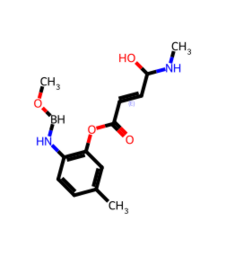 CNC(O)/C=C/C(=O)Oc1cc(C)ccc1NBOC